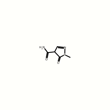 CN1N=CC(C(N)=O)C1=O